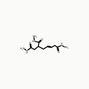 NNC(=O)C/C=C/CC(CC(=O)NN)C(=O)NN